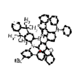 CC(C)(C)c1ccc(N2c3cc4c(cc3B3c5c2cc2c(oc6ccccc62)c5-c2ccc(N(c5ccccc5)c5ccccc5)c5c6c7ccccc7sc6n3c25)C(C)(C)c2ccccc2C4(C)C)c(-c2ccccc2)c1